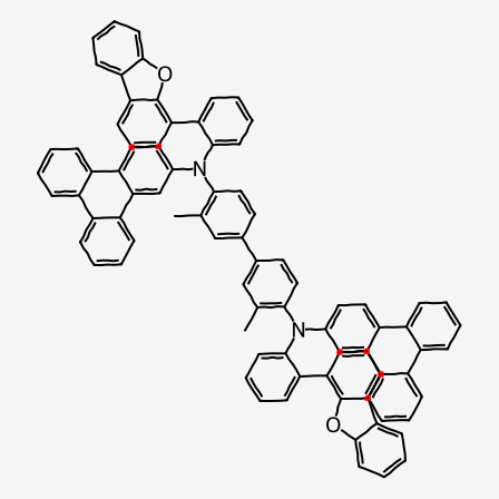 Cc1cc(-c2ccc(N(c3ccc4c5ccccc5c5ccccc5c4c3)c3ccccc3-c3cccc4c3oc3ccccc34)c(C)c2)ccc1N(c1ccc2c3ccccc3c3ccccc3c2c1)c1ccccc1-c1cccc2c1oc1ccccc12